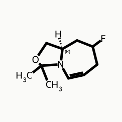 CC1(C)OC[C@H]2CC(F)CC=CN21